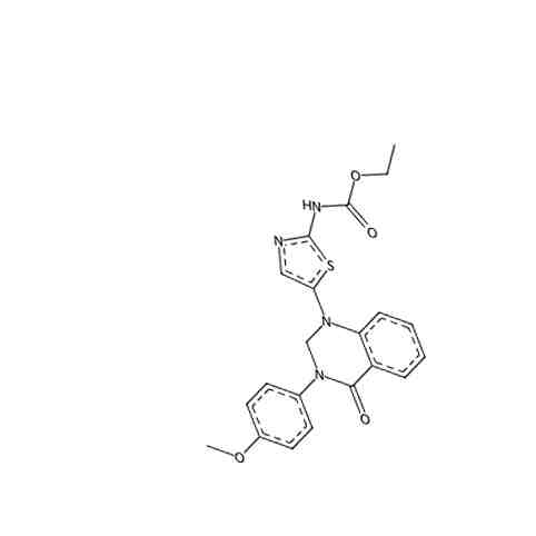 CCOC(=O)Nc1ncc(N2CN(c3ccc(OC)cc3)C(=O)c3ccccc32)s1